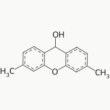 Cc1ccc2c(c1)Oc1cc(C)ccc1C2O